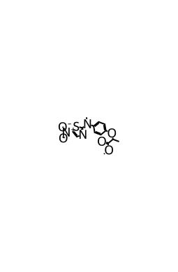 COC(=O)C(C)Oc1ccc(N(C)c2ncc([N+](=O)[O-])s2)cc1